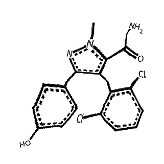 Cn1nc(-c2ccc(O)cc2)c(-c2c(Cl)cccc2Cl)c1C(N)=O